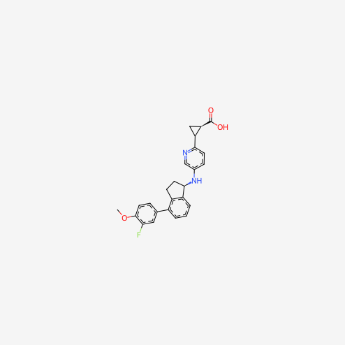 COc1ccc(-c2cccc3c2CC[C@H]3Nc2ccc(C3C[C@H]3C(=O)O)nc2)cc1F